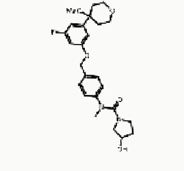 COC1(c2cc(F)cc(OCc3ccc(N(C)C(=O)N4CC[C@@H](O)C4)cc3)c2)CCOCC1